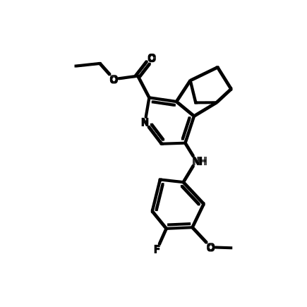 CCOC(=O)c1ncc(Nc2ccc(F)c(OC)c2)c2c1C1CCC2C1